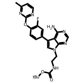 Cc1ccnc(Oc2ccc(-c3cn(CCNC(=O)OC(C)(C)C)c4ncnc(N)c34)cc2F)n1